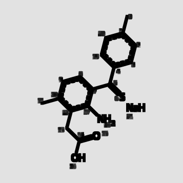 Cc1ccc(C(=S)c2ccc(C)c(CC(=O)O)c2N)cc1.[NaH]